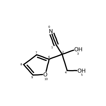 N#CC(O)(CO)c1ccco1